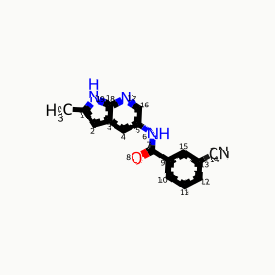 Cc1cc2cc(NC(=O)c3cccc(C#N)c3)cnc2[nH]1